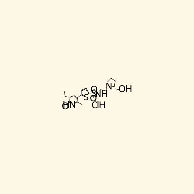 CCc1cc(-c2ccc(S(=O)(=O)NCCN3CCC[C@@H]3CO)s2)c(C)[nH]c1=O.Cl